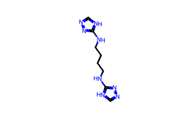 c1nnc(NCCCCNc2nnc[nH]2)[nH]1